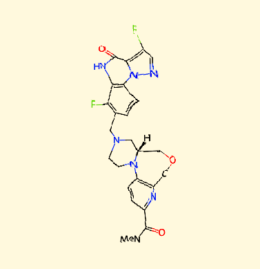 CNC(=O)c1ccc2c(n1)COC[C@H]1CN(Cc3ccc4c([nH]c(=O)c5c(F)cnn54)c3F)CCN21